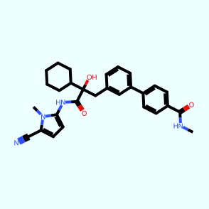 CNC(=O)c1ccc(-c2cccc(CC(O)(C(=O)Nc3ccc(C#N)n3C)C3CCCCC3)c2)cc1